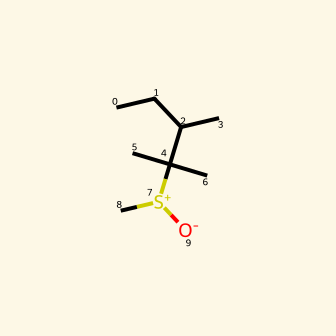 CCC(C)C(C)(C)[S+](C)[O-]